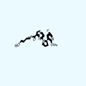 COc1ncc(F)cc1[C@H]1CCCN1c1ccn2ncc(C(=O)NCCCCO)c2n1